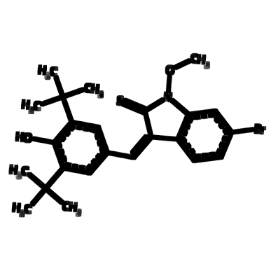 CON1C(=S)C(=Cc2cc(C(C)(C)C)c(O)c(C(C)(C)C)c2)c2ccc(Br)cc21